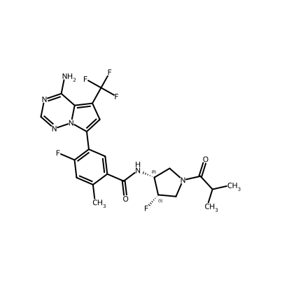 Cc1cc(F)c(-c2cc(C(F)(F)F)c3c(N)ncnn23)cc1C(=O)N[C@@H]1CN(C(=O)C(C)C)C[C@@H]1F